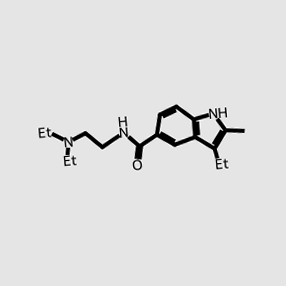 CCc1c(C)[nH]c2ccc(C(=O)NCCN(CC)CC)cc12